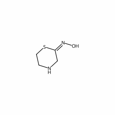 ON=C1CNCCS1